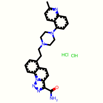 Cc1ccc2c(N3CCN(CCc4cccc5c4ccc4c(C(N)=O)nnn45)CC3)cccc2n1.Cl.Cl